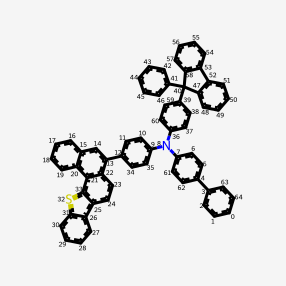 c1ccc(-c2ccc(N(c3ccc(-c4cc5ccccc5c5c4ccc4c6ccccc6sc45)cc3)c3ccc(C4(c5ccccc5)c5ccccc5-c5ccccc54)cc3)cc2)cc1